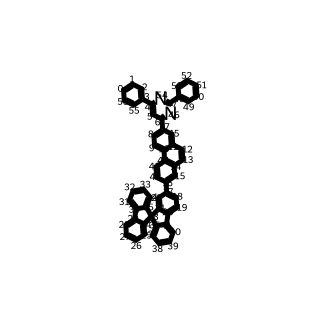 c1ccc(-c2cc(-c3ccc4c(ccc5cc(-c6ccc7c(c6)C6(c8ccccc8-c8ccccc86)c6ccccc6-7)ccc54)c3)nc(-c3ccccc3)n2)cc1